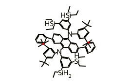 CC[SiH2]c1cc(N(c2cc(C(C)(C)C)cc(C(C)(C)C)c2)c2c3ccc(-c4ccccc4)cc3c(N(c3cc([SiH](CC)CC)cc([SiH](CC)CC)c3)c3cc(C(C)(C)C)cc(C(C)(C)C)c3)c3ccc(-c4ccccc4)cc23)cc([SiH](CC)CC)c1